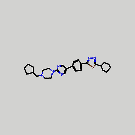 c1cc(-c2nnc(C3CCCCC3)s2)ccc1-c1cnc(N2CCN(CC3CCCC3)CC2)nc1